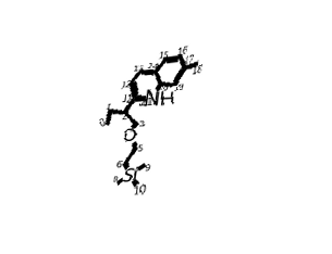 CCC(COCC[Si](C)(C)C)C1=CC=C2C=CC(C)=CC2N1